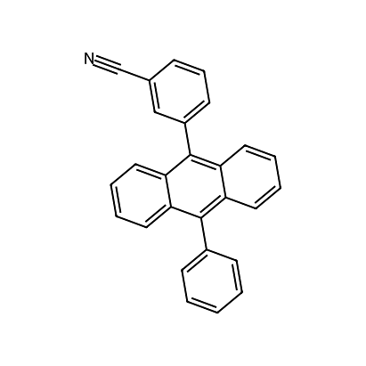 N#Cc1cccc(-c2c3ccccc3c(-c3ccccc3)c3ccccc23)c1